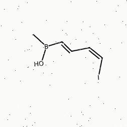 CB(O)/C=C/C=C\I